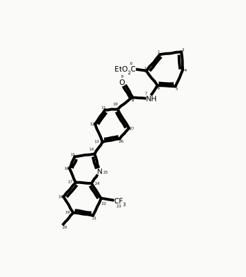 CCOC(=O)c1ccccc1NC(=O)c1ccc(-c2ccc3cc(C)cc(C(F)(F)F)c3n2)cc1